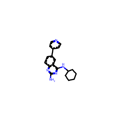 Nc1nc(NC2CCCCC2)c2cc(-c3ccncc3)ccc2n1